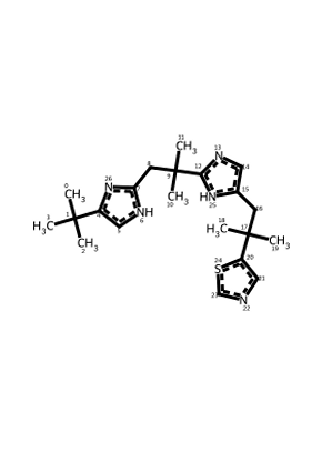 CC(C)(C)c1c[nH]c(CC(C)(C)c2ncc(CC(C)(C)c3cncs3)[nH]2)n1